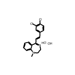 CN1CCN=C(C=Cc2ccc(Cl)c(Cl)c2)c2ccccc21.Cl.Cl